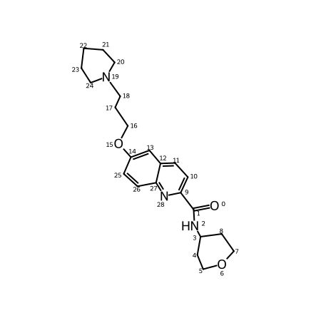 O=C(NC1CCOCC1)c1ccc2cc(OCCCN3CCCCC3)ccc2n1